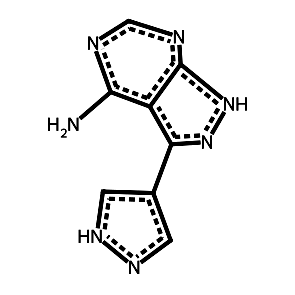 Nc1ncnc2[nH]nc(-c3cn[nH]c3)c12